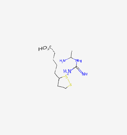 CC(N)NC(=N)N.O=C(O)CCCCC1CCSS1